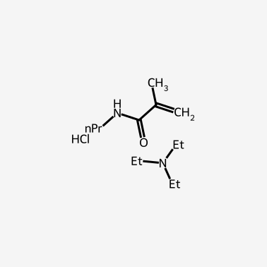 C=C(C)C(=O)NCCC.CCN(CC)CC.Cl